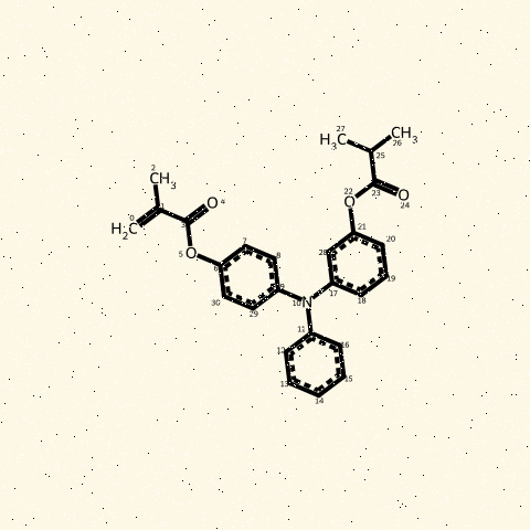 C=C(C)C(=O)Oc1ccc(N(c2ccccc2)c2cccc(OC(=O)C(C)C)c2)cc1